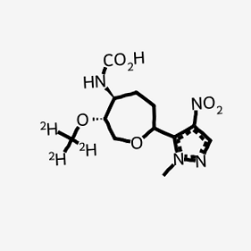 [2H]C([2H])([2H])O[C@H]1COC(c2c([N+](=O)[O-])cnn2C)CC[C@@H]1NC(=O)O